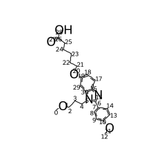 COCCCn1c(-c2ccc(OC)cc2)nc2ccc(OCCCCCC(=O)O)cc21